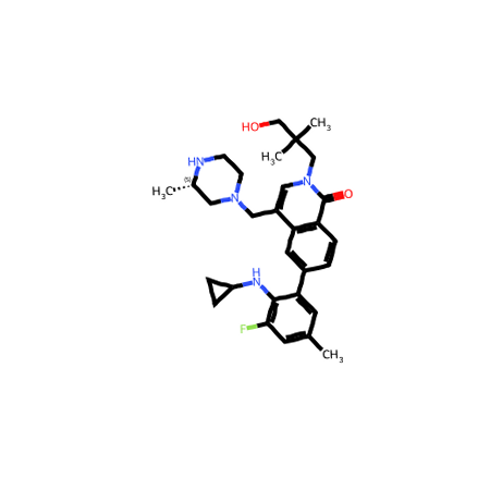 Cc1cc(F)c(NC2CC2)c(-c2ccc3c(=O)n(CC(C)(C)CO)cc(CN4CCN[C@@H](C)C4)c3c2)c1